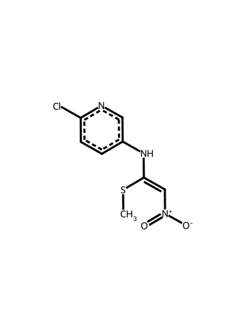 CSC(=C[N+](=O)[O-])Nc1ccc(Cl)nc1